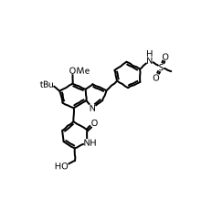 COc1c(C(C)(C)C)cc(-c2ccc(CO)[nH]c2=O)c2ncc(-c3ccc(NS(C)(=O)=O)cc3)cc12